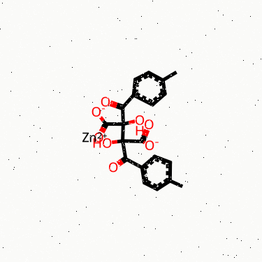 Cc1ccc(C(=O)C(O)(C(=O)[O-])C(O)(C(=O)[O-])C(=O)c2ccc(C)cc2)cc1.[Zn+2]